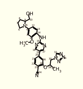 COc1cc(N2CCCC2CO)ccc1Nc1ncc(-c2ccc(C#N)c(OC(C)Cn3cnnn3)c2)cn1